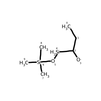 CCC([O])[SiH2]O[Si](C)(C)C